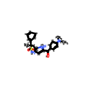 CN(C)c1ccc(C(=O)c2ccc(CC(C)(c3ccccc3)S(N)(=O)=O)[nH]2)cc1